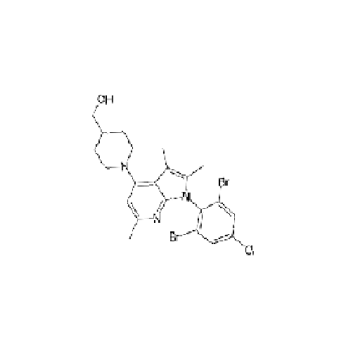 Cc1cc(N2CCC(CO)CC2)c2c(C)c(C)n(-c3c(Br)cc(Cl)cc3Br)c2n1